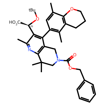 Cc1cc(-c2c3c(nc(C)c2[C@H](OC(C)(C)C)C(=O)O)C(C)(C)CN(C(=O)OCc2ccccc2)C3)c(C)c2c1OCCC2